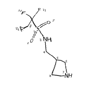 O=S(=O)(NCC1CNC1)C(F)(F)F